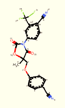 CC1(COc2ccc(C#N)cc2)OC(=O)N(c2ccc(C#N)c(C(F)(F)F)c2)C1=O